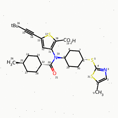 Cc1cnc(S[C@H]2CC[C@H](N(c3cc(C#CC(C)(C)C)sc3C(=O)O)C(=O)[C@H]3CC[C@H](C)CC3)CC2)s1